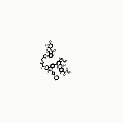 Cc1cc(F)c(Nc2nc(-c3ccc4c(c3)N(C3CC(N5CCCCC5)C3)C(=O)C43CCN(C(=O)C4CN(CC5CCN(c6cccc7c6C(=O)N(C6CCC(=O)NC6=O)C7=O)C5)C4)CC3)cc3ncn(C(C)C)c23)cc1C(=O)NC(C)C